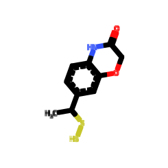 CC(SS)c1ccc2c(c1)OCC(=O)N2